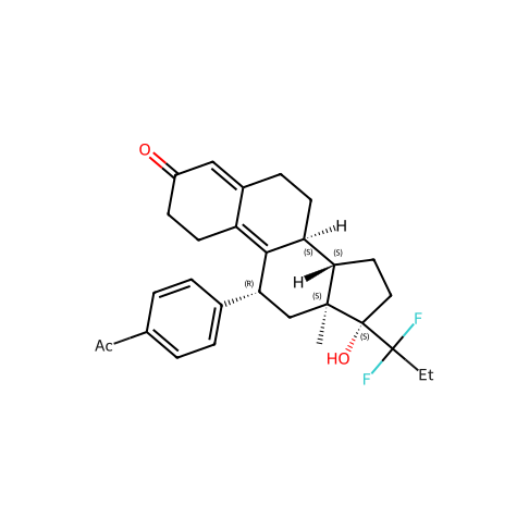 CCC(F)(F)[C@]1(O)CC[C@H]2[C@@H]3CCC4=CC(=O)CCC4=C3[C@@H](c3ccc(C(C)=O)cc3)C[C@@]21C